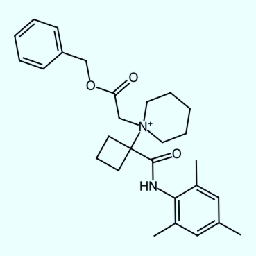 Cc1cc(C)c(NC(=O)C2([N+]3(CC(=O)OCc4ccccc4)CCCCC3)CCC2)c(C)c1